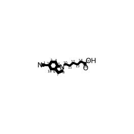 N#Cc1ccc2c(ccn2CCCCCC(=O)O)c1